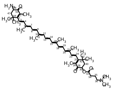 CC1=C(/C=C/C(C)=C/C=C/C(C)=C/C=C/C=C(C)/C=C/C=C(C)/C=C/C2=C(C)C(=O)C(OC(=O)CCCN(C)C)CC2(C)C)C(C)(C)CC(N)C1=O